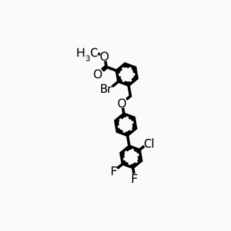 COC(=O)c1cccc(COc2ccc(-c3cc(F)c(F)cc3Cl)cc2)c1Br